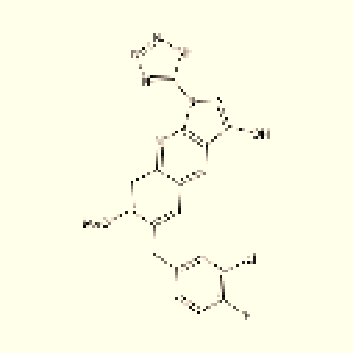 COc1cc2nc3c(cc2cc1Cc1ccc(F)c(Cl)c1)c(O)nn3-c1nnn[nH]1